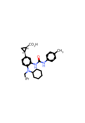 Cc1ccc(NC(=O)Nc2cc([C@H]3C[C@H]3C(=O)O)ccc2N(CC(C)C)C2CCCCC2)cc1